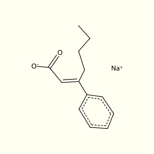 CCCCC(=CC(=O)[O-])c1ccccc1.[Na+]